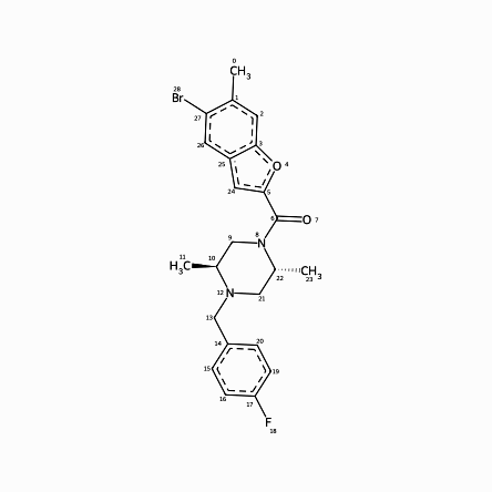 Cc1cc2oc(C(=O)N3C[C@H](C)N(Cc4ccc(F)cc4)C[C@H]3C)cc2cc1Br